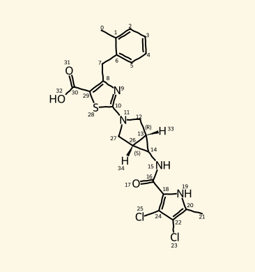 Cc1ccccc1Cc1nc(N2C[C@@H]3C(NC(=O)c4[nH]c(C)c(Cl)c4Cl)[C@@H]3C2)sc1C(=O)O